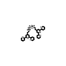 C[Si](C)(CCc1cc(-c2ccccn2)nc(-c2ccccn2)c1)O[Si](C)(C)O[Si](C)(C)CCc1cc(-c2ccccn2)nc(-c2ccccn2)c1